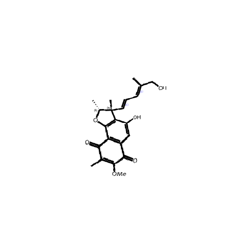 COC1=C(C)C(=O)c2c(cc(O)c3c2O[C@H](C)[C@]3(C)/C=C/C=C(\C)CO)C1=O